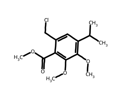 COC(=O)c1c(CCl)cc(C(C)C)c(OC)c1OC